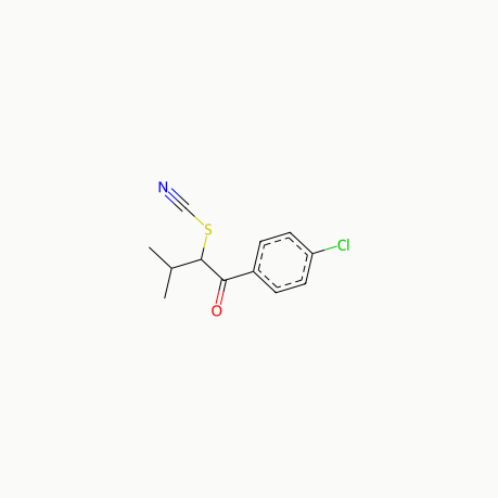 CC(C)C(SC#N)C(=O)c1ccc(Cl)cc1